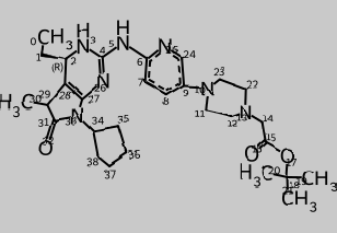 CC[C@H]1NC(Nc2ccc(N3CCN(CC(=O)OC(C)(C)C)CC3)cn2)=NC2=C1C(C)C(=O)N2C1CCCC1